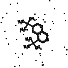 CC(C)(C)c1ccc2cncc(C(C)(C)C)c2c1